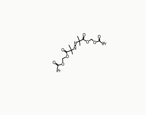 CC(C)C(=O)OCOC(=O)C(C)(C)N=NC(C)(C)C(=O)OCOC(=O)C(C)C